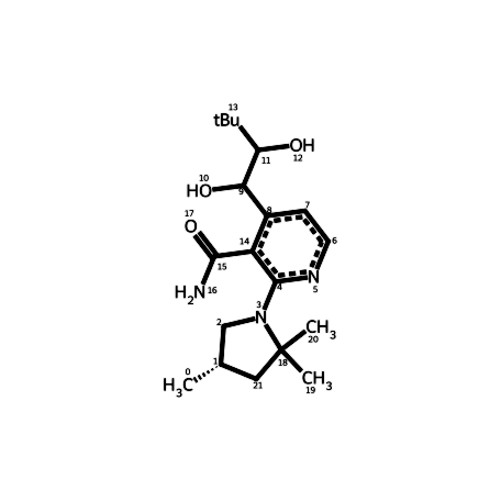 C[C@@H]1CN(c2nccc(C(O)C(O)C(C)(C)C)c2C(N)=O)C(C)(C)C1